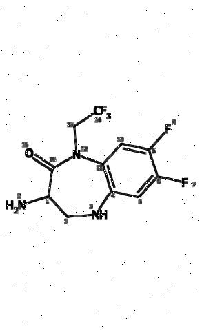 NC1CNc2cc(F)c(F)cc2N(CC(F)(F)F)C1=O